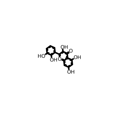 O=c1c(O)c(-c2cccc(O)c2O)oc2cc(O)cc(O)c12